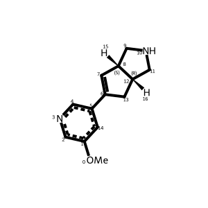 COc1cncc(C2=C[C@@H]3CNC[C@@H]3C2)c1